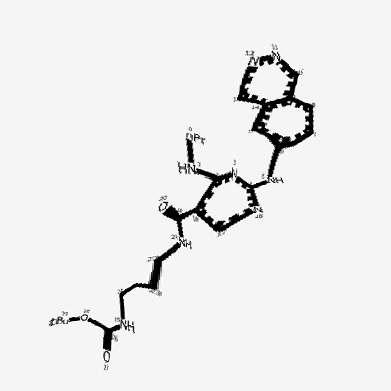 CCCNc1nc(Nc2ccc3cnncc3c2)ncc1C(=O)NCCCNC(=O)OC(C)(C)C